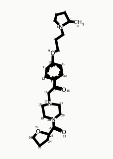 CC1CCCN1CCCOc1ccc(C(=O)CN2CCN(C(=O)C3CCCO3)CC2)cc1